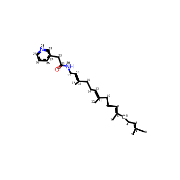 CC(C)=CCC/C(C)=C/CC/C(C)=C/CC/C(C)=C/CNC(=O)Cc1cccnc1